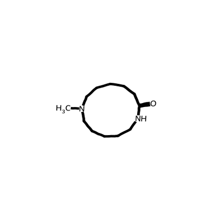 CN1CCCCCNC(=O)CCCCC1